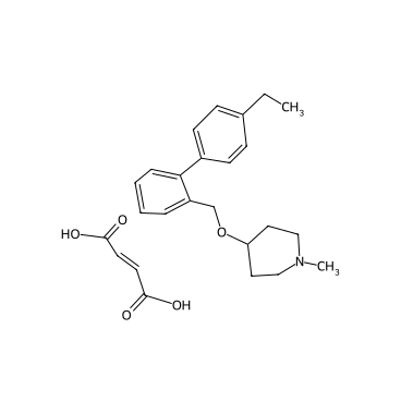 CCc1ccc(-c2ccccc2COC2CCN(C)CC2)cc1.O=C(O)C=CC(=O)O